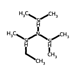 CC[SiH](C)N([SiH](C)C)[SiH](C)C